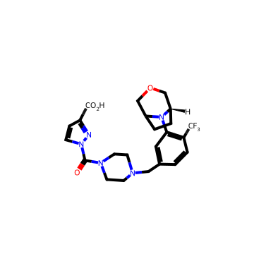 O=C(O)c1ccn(C(=O)N2CCN(Cc3ccc(C(F)(F)F)c(N4C5CC[C@H]4COC5)c3)CC2)n1